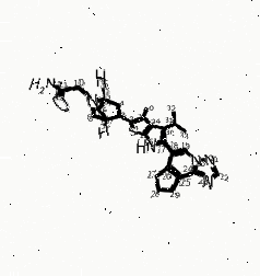 Cc1c(C2C[C@@H]3C[C@H]2CN3CC(N)=O)sc2[nH]c(-c3cn4ncnc4c4c3CCC4)c(C(C)C)c12